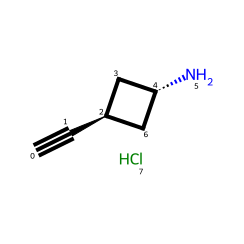 C#C[C@H]1C[C@H](N)C1.Cl